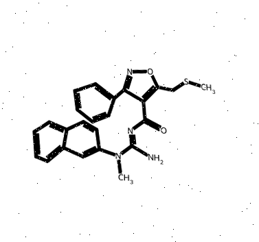 CSCc1onc(-c2ccccc2)c1C(=O)N=C(N)N(C)c1ccc2ccccc2c1